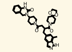 Cc1cc(CC(CC(=O)N2CCC(N3Cc4ccccc4NC3=O)CC2)C(=O)N2CCC3(CC2)OCCO3)cc2cn[nH]c12